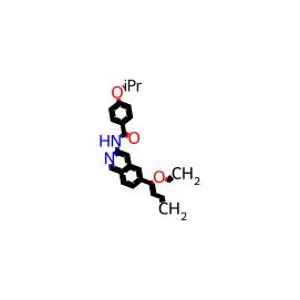 C=C/C=C(\OC=C)c1ccc2cnc(NC(=O)c3ccc(OC(C)C)cc3)cc2c1